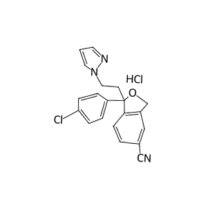 Cl.N#Cc1ccc2c(c1)COC2(CCn1cccn1)c1ccc(Cl)cc1